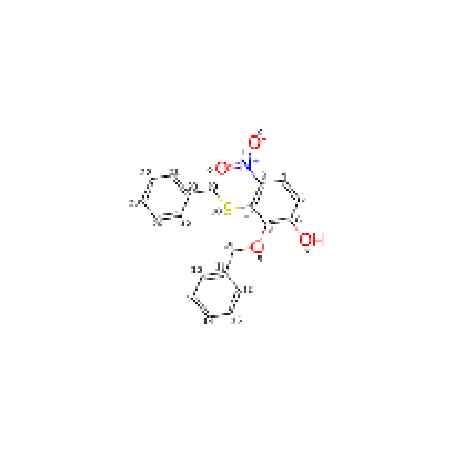 O=[N+]([O-])c1ccc(O)c(OCc2ccccc2)c1SCc1ccccc1